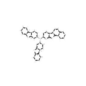 c1ccc2c(c1)ccc1c3ccc(N(c4ccc5c(c4)sc4ccccc45)c4ccc5c(c4)sc4ccccc45)nc3oc21